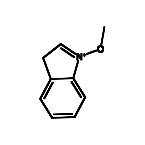 CO[N+]1=CCc2ccccc21